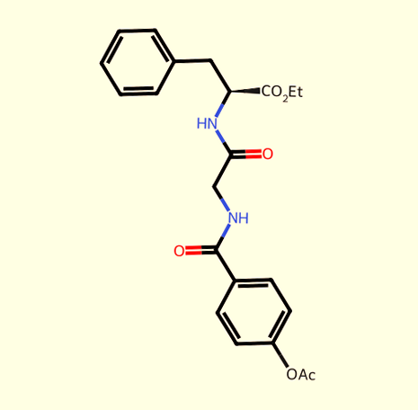 CCOC(=O)[C@H](Cc1ccccc1)NC(=O)CNC(=O)c1ccc(OC(C)=O)cc1